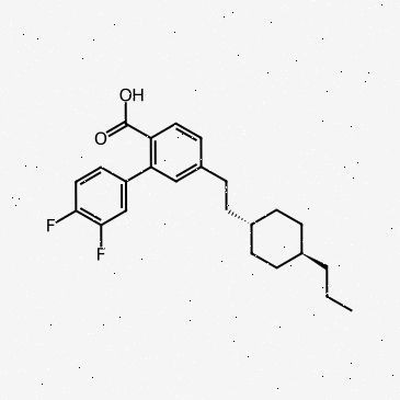 CCC[C@H]1CC[C@H](CCc2ccc(C(=O)O)c(-c3ccc(F)c(F)c3)c2)CC1